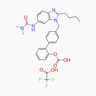 CCCCc1nc2ccc(NC(=O)N(C)C)cc2n1Cc1ccc(-c2ccccc2OC(=O)O)cc1.O=C(O)C(F)(F)F